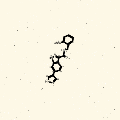 COc1ccccc1CNC(=O)c1n[nH]c2cc(-c3cn[nH]c3)ccc12